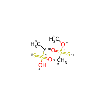 CCS(=O)(O)=S.COS(C)(=O)=S